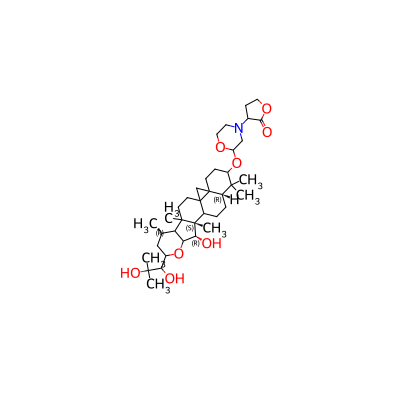 C[C@@H]1CC(C(O)C(C)(C)O)OC2C1C1(C)CCC34CC35CCC(OC3CN(C6CCOC6=O)CCO3)C(C)(C)[C@@H]5CCC4[C@]1(C)[C@H]2O